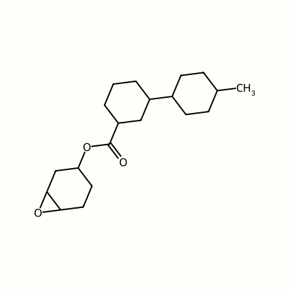 CC1CCC(C2CCCC(C(=O)OC3CCC4OC4C3)C2)CC1